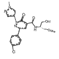 COC[C@@H](CO)NC(=O)c1cc(-c2ccc(Cl)cc2)nn(-c2cnn(C)c2)c1=O